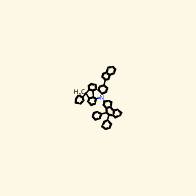 CC1(c2ccccc2)c2ccccc2-c2c(N(c3ccc(-c4ccc5ccccc5c4)cc3)c3ccc4c(c3)c(-c3ccccc3)c(-c3ccccc3)c3ccccc34)cccc21